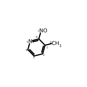 Cc1cccnc1N=O